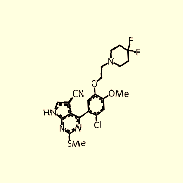 COc1cc(Cl)c(-c2nc(SC)nc3[nH]cc(C#N)c23)cc1OCCN1CCC(F)(F)CC1